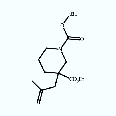 C=C(C)CC1(C(=O)OCC)CCCN(C(=O)OC(C)(C)C)C1